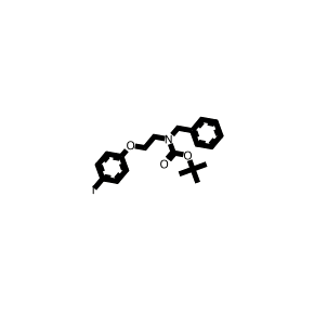 CC(C)(C)OC(=O)N(CCOc1ccc(I)cc1)Cc1ccccc1